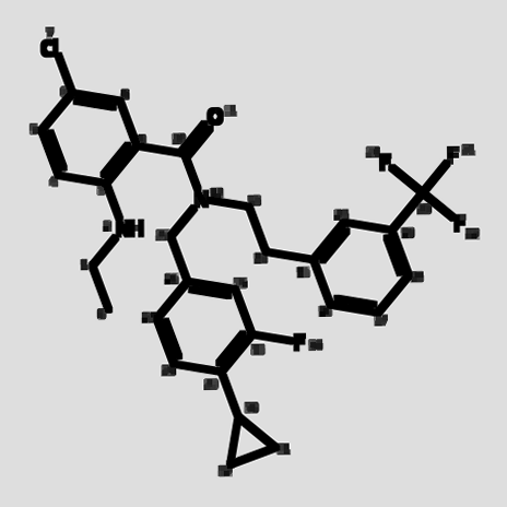 CCNc1ccc(Cl)cc1C(=O)N(CCc1cccc(C(F)(F)F)c1)Cc1ccc(C2CC2)c(F)c1